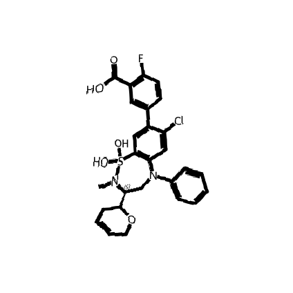 CN1[C@H](C2CC=CCO2)CN(c2ccccc2)c2cc(Cl)c(-c3ccc(F)c(C(=O)O)c3)cc2S1(O)O